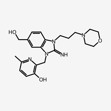 Cc1ccc(O)c(Cn2c(=N)n(CCCN3CCOCC3)c3ccc(CO)cc32)n1